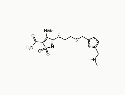 CNC1=C(C(N)=O)S(=O)(=O)N=C1NCCSCc1ccc(CN(C)C)s1